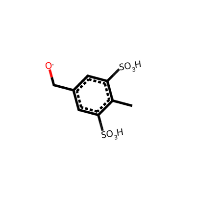 Cc1c(S(=O)(=O)O)cc(C[O])cc1S(=O)(=O)O